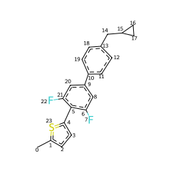 Cc1ccc(-c2c(F)cc(-c3ccc(CC4CC4)cc3)cc2F)s1